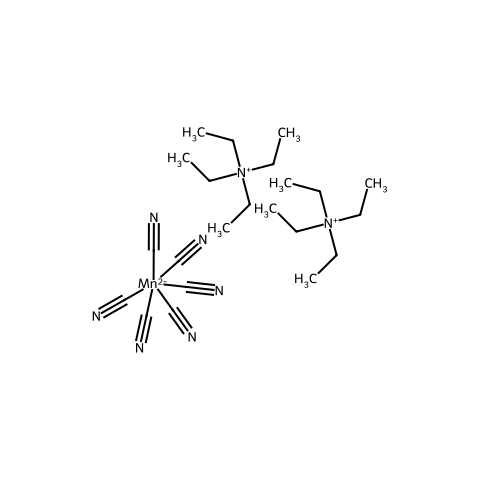 CC[N+](CC)(CC)CC.CC[N+](CC)(CC)CC.N#[C][Mn-2]([C]#N)([C]#N)([C]#N)([C]#N)[C]#N